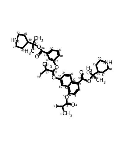 CC(I)C(=O)Oc1ccc(C(=O)OC(C)(C)C2CCNCC2)c2ccc(OC(Oc3cccc(C(=O)OC(C)(C)C4CCNCC4)c3)C(C)I)cc12